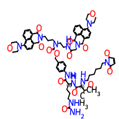 CC(C)[C@H](NC(=O)CCCCCN1C(=O)C=CC1=O)C(=O)N[C@@H](CCCNC(N)=O)C(=O)Nc1ccc(COC(=O)N(CCCN2C(=O)c3cccc4c(N5CCOCC5)ccc(c34)C2=O)CCNC(=O)CN2C(=O)c3cccc4c(N5CCOCC5)ccc(c34)C2=O)cc1